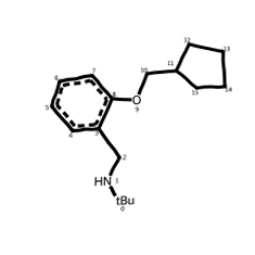 CC(C)(C)NCc1ccccc1OCC1CCCC1